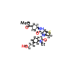 CCN(C(=O)Cn1c(C(=O)NC2CCC(C(=O)OC)CC2)cc2sccc21)c1cccc(CCCO)c1